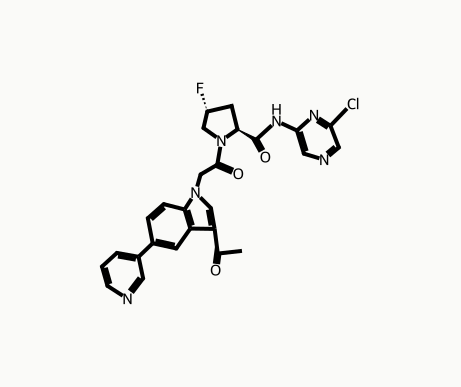 CC(=O)c1cn(CC(=O)N2C[C@H](F)C[C@H]2C(=O)Nc2cncc(Cl)n2)c2ccc(-c3cccnc3)cc12